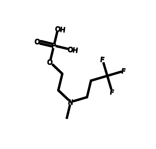 CN(CCOP(=O)(O)O)CCC(F)(F)F